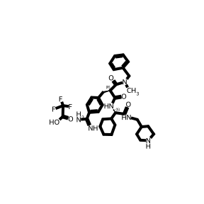 CN(Cc1ccccc1)C(=O)[C@H](Cc1ccc(C(=N)N)cc1)C(=O)N[C@H](C(=O)NCC1CCNCC1)C1CCCCC1.O=C(O)C(F)(F)F